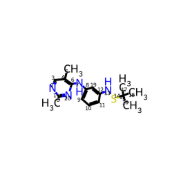 Cc1ncc(C)c(Nc2cccc(NSC(C)(C)C)c2)n1